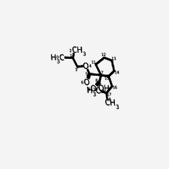 CC(C)COC(=O)C1(C(=O)O)CCCCC1CC(C)C